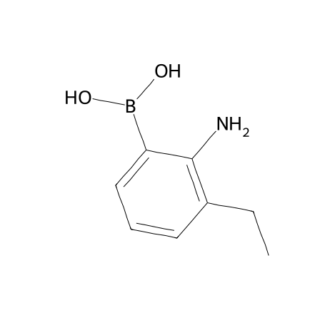 CCc1cccc(B(O)O)c1N